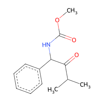 COC(=O)NC(C(=O)C(C)C)c1ccccc1